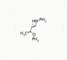 C=C(/C=C/NP)OP